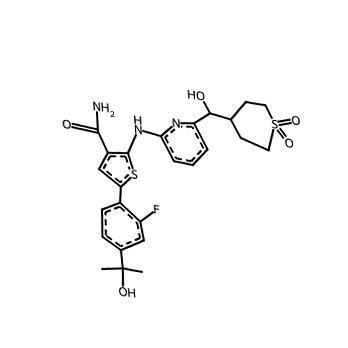 CC(C)(O)c1ccc(-c2cc(C(N)=O)c(Nc3cccc(C(O)C4CCS(=O)(=O)CC4)n3)s2)c(F)c1